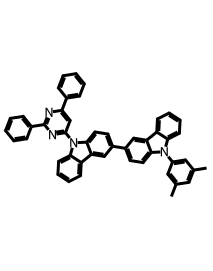 Cc1cc(C)cc(-n2c3ccccc3c3cc(-c4ccc5c(c4)c4ccccc4n5-c4cc(-c5ccccc5)nc(-c5ccccc5)n4)ccc32)c1